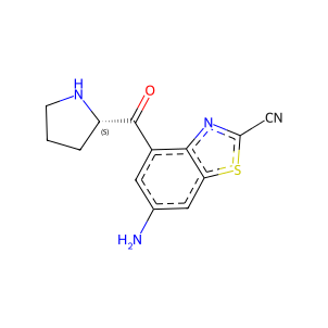 N#Cc1nc2c(C(=O)[C@@H]3CCCN3)cc(N)cc2s1